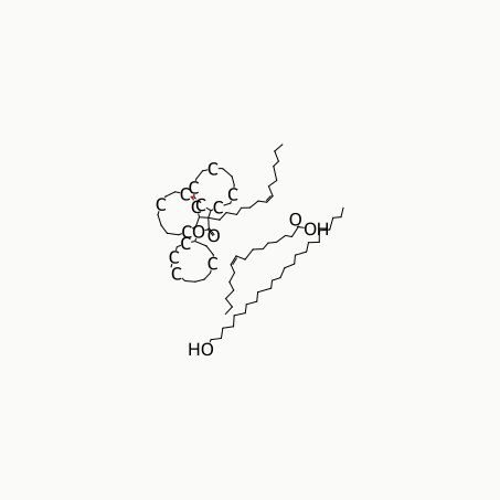 CCCCCC/C=C\CCCCCCC(C(=O)OC1CCCCCCCCCCCC1)(C1CCCCCCCCCCCC1)C1CCCCCCCCCCCC1.CCCCCC/C=C\CCCCCCCC(=O)O.CCCCCCCCCCCCCCCCCCCCCCCO